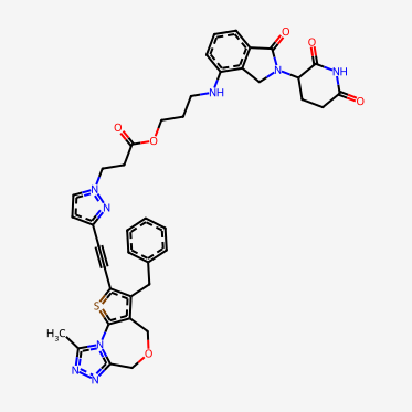 Cc1nnc2n1-c1sc(C#Cc3ccn(CCC(=O)OCCCNc4cccc5c4CN(C4CCC(=O)NC4=O)C5=O)n3)c(Cc3ccccc3)c1COC2